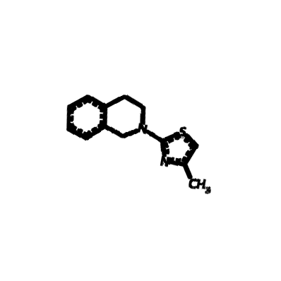 Cc1csc(N2CCc3ccccc3C2)n1